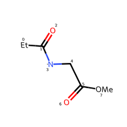 CCC(=O)[N]CC(=O)OC